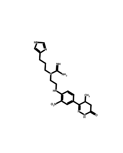 CC1CC(=O)NN=C1c1ccc(NCCN(CCCc2c[nH]cn2)C(=N)N)c([N+](=O)[O-])c1